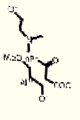 CCCC(=O)CC(=O)[O-].CN(C)CC[O-].COCCC[O-].[Al+3]